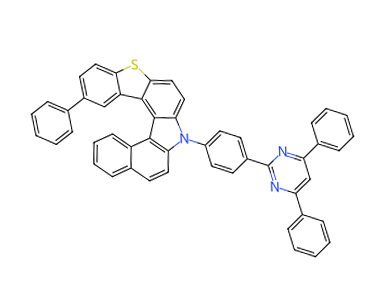 c1ccc(-c2ccc3sc4ccc5c(c4c3c2)c2c3ccccc3ccc2n5-c2ccc(-c3nc(-c4ccccc4)cc(-c4ccccc4)n3)cc2)cc1